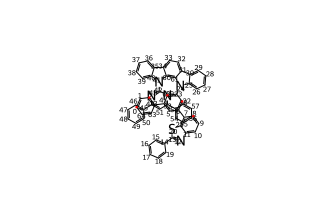 c1ccc(-c2cc(-c3cccc4nc(-c5ccccc5)sc34)cc(-n3c4ccccc4c4ccc5c6ccccc6n(-c6nc(-c7ccccc7)cc(-c7ccccc7)n6)c5c43)c2)cc1